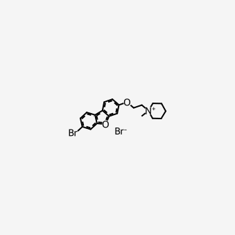 C[N+]1(CCOc2ccc3c(c2)oc2cc(Br)ccc23)CCCCC1.[Br-]